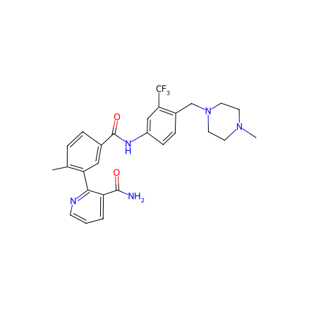 Cc1ccc(C(=O)Nc2ccc(CN3CCN(C)CC3)c(C(F)(F)F)c2)cc1-c1ncccc1C(N)=O